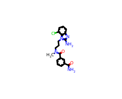 CN(CCCn1c(N)nc2cccc(Cl)c21)C(=O)c1cccc(C(N)=O)c1